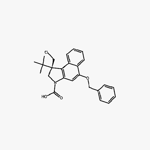 CC(C)(C)[C@@]1(CCl)CN(C(=O)O)c2cc(OCc3ccccc3)c3ccccc3c21